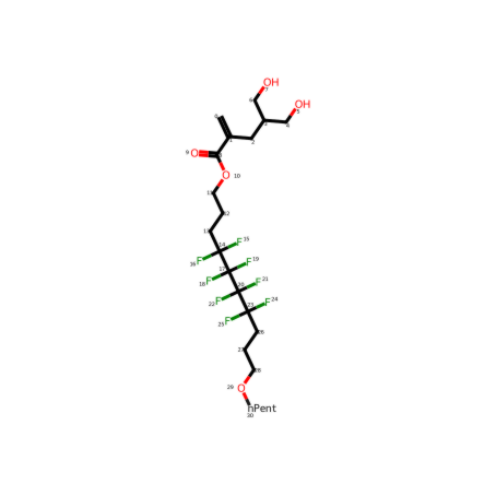 C=C(CC(CO)CO)C(=O)OCCCC(F)(F)C(F)(F)C(F)(F)C(F)(F)CCCOCCCCC